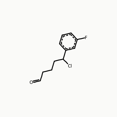 O=CCCCC(Cl)c1cccc(F)c1